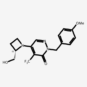 COc1ccc(Cn2ncc(N3CC[C@H]3CO)c(C(F)(F)F)c2=O)cc1